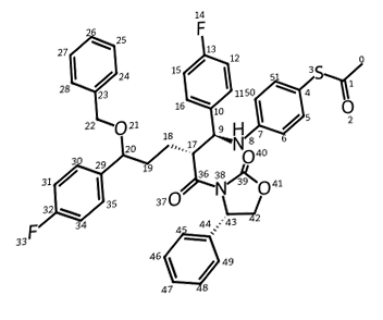 CC(=O)Sc1ccc(N[C@H](c2ccc(F)cc2)[C@@H](CCC(OCc2ccccc2)c2ccc(F)cc2)C(=O)N2C(=O)OC[C@@H]2c2ccccc2)cc1